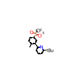 Cc1ccc(S(=O)(=O)C(F)(F)F)cc1-c1cccc(C(C)(C)C)n1